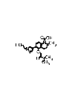 C[C@H]1CCc2c(ccc(-c3cnn(CCO)c3)c2OCC(=O)N(C)C)N1C(=O)O